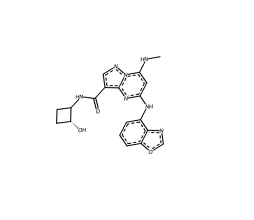 CNc1cc(Nc2cccc3ocnc23)nc2c(C(=O)NC3CC[C@H]3O)cnn12